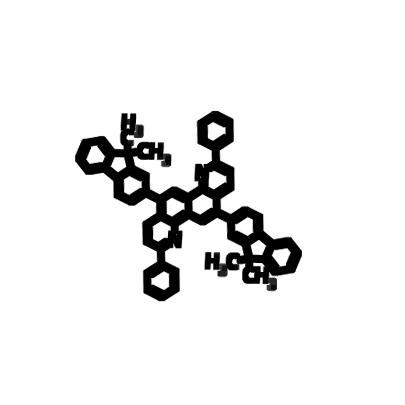 CC1(C)c2ccccc2-c2ccc(-c3cc4c(cc(-c5ccc6c(c5)C(C)(C)c5ccccc5-6)c5ccc(-c6ccccc6)nc54)c4nc(-c5ccccc5)ccc34)cc21